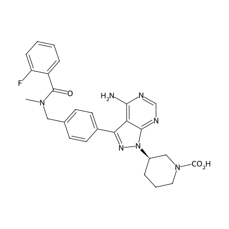 CN(Cc1ccc(-c2nn([C@@H]3CCCN(C(=O)O)C3)c3ncnc(N)c23)cc1)C(=O)c1ccccc1F